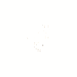 Cc1ccccc1C(OC(N)=O)(c1ccnnn1)C(C)(C)C